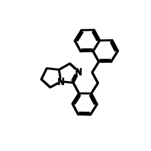 c1ccc(C2=NCC3CCCN23)c(CCc2cccc3ccccc23)c1